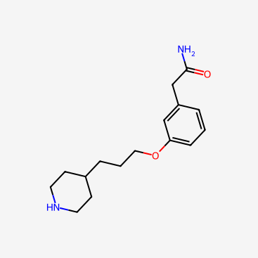 NC(=O)Cc1cccc(OCCCC2CCNCC2)c1